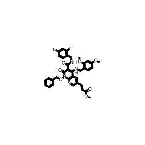 COC(=O)C=Cc1cnc2c(c1)c(NCc1ccc(OC)cc1OC)c(C(=O)NCc1ccc(F)cc1F)c(=O)n2OCc1ccccc1